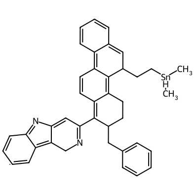 [CH3][SnH]([CH3])[CH2]CC1C=c2ccccc2=c2ccc3c(c21)CCC(Cc1ccccc1)C=3C1=NCC2=c3c[c]ccc3=NC2=C1